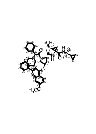 C=C[C@@H]1C[C@]1(NC(=O)[C@@H]1C[C@@H](Oc2cc(-c3ccccc3)nc3cc(OC)ccc23)CN1C(=O)[C@H](c1ccccc1)N1CCCCC1)C(=O)NS(=O)(=O)C1CC1